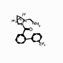 NC[C@@H]1[C@@H]2C[C@@H]2CN1C(=O)c1ccccc1-c1cccc(C(F)(F)F)c1